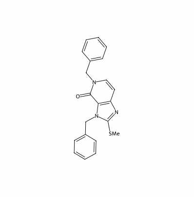 CSc1nc2ccn(Cc3ccccc3)c(=O)c2n1Cc1ccccc1